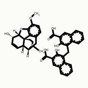 COc1ccc2c3c1O[C@H]1[C@@H](O)C=C[C@H]4[C@@H](C2)N(C)CC[C@@]341.O=C(O)c1cc2ccccc2c(Cc2c(O)c(C(=O)O)cc3ccccc23)c1O